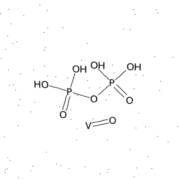 O=P(O)(O)OP(=O)(O)O.[O]=[V]